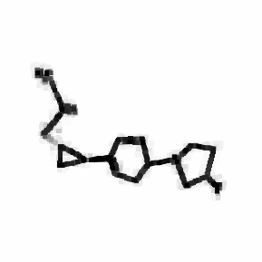 CNC[C@H]1C[C@@H]1C1=CCC(N2CCC(F)C2)C=C1